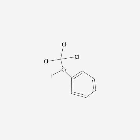 Cl[C](Cl)(Cl)[Cr]([I])[c]1ccccc1